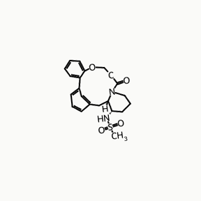 CS(=O)(=O)N[C@H]1CCCN2C(=O)CCOc3ccccc3-c3cccc(c3)C[C@@H]12